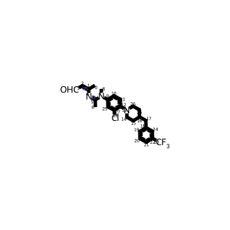 CC(=C/C=O)/N=C(/C)N(C)c1ccc(N2CCC(Cc3cccc(C(F)(F)F)c3)CC2)c(Cl)c1